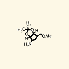 COC[C@H]1C[C@@H](N)[C@@H]2OC(C)(C)O[C@H]12